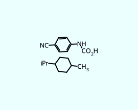 CC1CCC(C(C)C)CC1.N#Cc1ccc(NC(=O)O)cc1